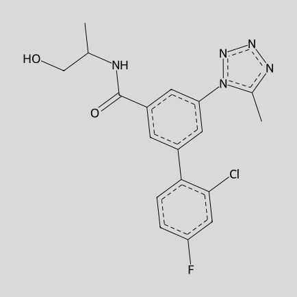 Cc1nnnn1-c1cc(C(=O)NC(C)CO)cc(-c2ccc(F)cc2Cl)c1